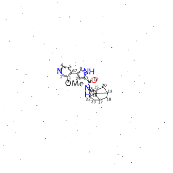 COc1cnccc1-c1c[nH]c(C(=O)NC2C3CC4CC(C3)CC2C4)c1